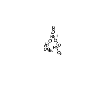 CC(C)(C)OC(=O)C1CC(c2ccc(-c3nc(-c4ccc(N5CCCC5)cc4)[nH]c3-c3ccc(C=CC(=O)NCCc4ccc(F)cc4)cc3)cc2)=NO1